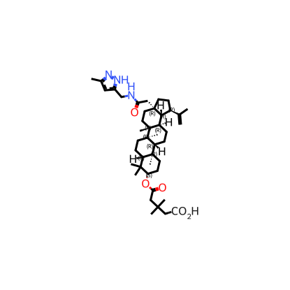 C=C(C)[C@@H]1CC[C@]2(CC(=O)NCc3cc(C)n[nH]3)CC[C@]3(C)[C@H](CC[C@@H]4[C@@]5(C)CC[C@H](OC(=O)CC(C)(C)CC(=O)O)C(C)(C)[C@@H]5CC[C@]43C)[C@@H]12